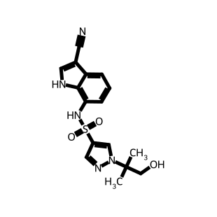 CC(C)(CO)n1cc(S(=O)(=O)Nc2cccc3c(C#N)c[nH]c23)cn1